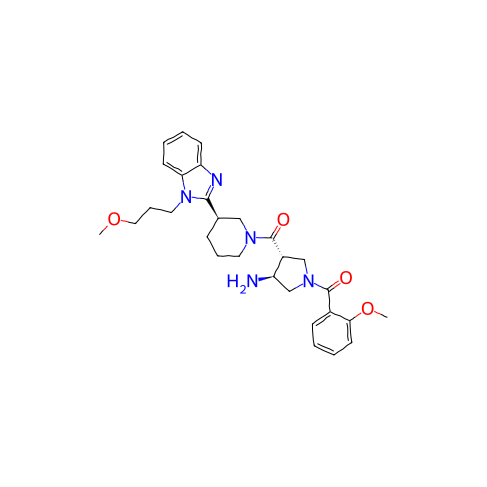 COCCCn1c([C@@H]2CCCN(C(=O)[C@@H]3CN(C(=O)c4ccccc4OC)C[C@H]3N)C2)nc2ccccc21